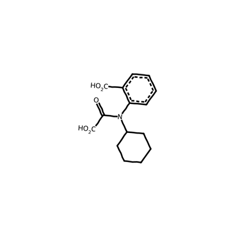 O=C(O)C(=O)N(c1ccccc1C(=O)O)C1CCCCC1